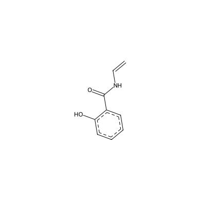 C=CNC(=O)c1ccccc1O